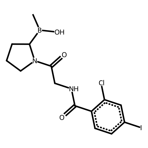 CB(O)C1CCCN1C(=O)CNC(=O)c1ccc(I)cc1Cl